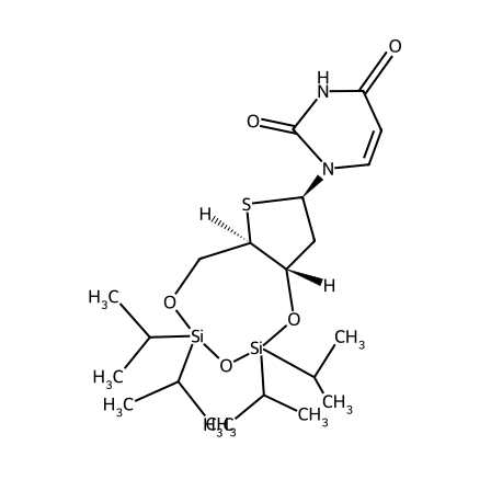 CC(C)[Si]1(C(C)C)OC[C@H]2S[C@@H](n3ccc(=O)[nH]c3=O)C[C@@H]2O[Si](C(C)C)(C(C)C)O1